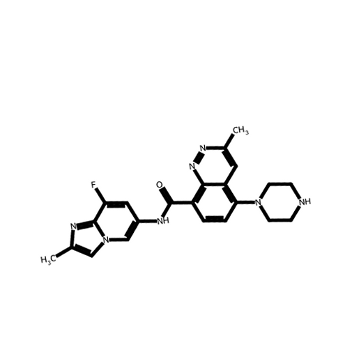 Cc1cc2c(N3CCNCC3)ccc(C(=O)Nc3cc(F)c4nc(C)cn4c3)c2nn1